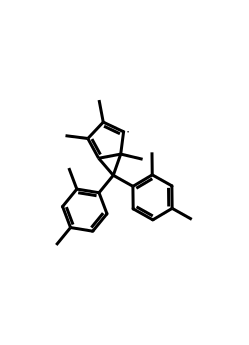 CC1=[C]C2(C)C(=C1C)C2(c1ccc(C)cc1C)c1ccc(C)cc1C